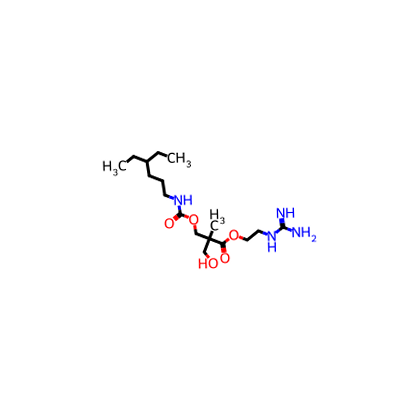 CCC(CC)CCCNC(=O)OCC(C)(CO)C(=O)OCCNC(=N)N